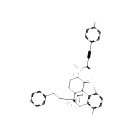 CN(C(=O)C#Cc1ccc(C(F)(F)F)cc1)[C@@H]1CC[C@H]2[C@H]3Cc4c(O)ccc5c4[C@@]2(CCN3CCc2ccccc2)[C@H]1O5